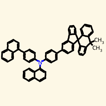 CC1(C)c2ccccc2C2(c3ccccc3-c3cc(-c4ccc(N(c5ccc(-c6cccc7ccccc67)cc5)c5cccc6ccccc56)cc4)ccc32)c2ccccc21